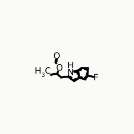 CCC(Cc1cc2cc(F)ccc2[nH]1)OC=O